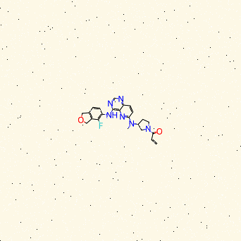 C=CC(=O)N1CC[C@H](N(C)c2ccc3ncnc(Nc4ccc5c(c4F)COC5)c3n2)C1